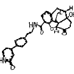 O=C(NCCc1ccc(-c2cc[nH]c(=O)c2)cc1)c1ccc2c3c1O[C@H]1C(=O)CC[C@@]4(O)[C@H](CCC[C@]314)C2